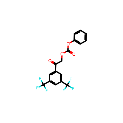 O=C(OCC(=O)c1cc(C(F)(F)F)cc(C(F)(F)F)c1)Oc1ccccc1